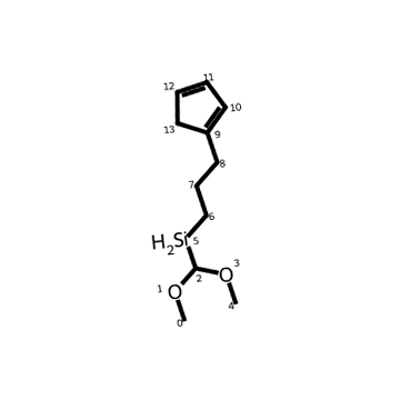 COC(OC)[SiH2]CCCC1=CC=CC1